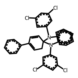 Clc1cc(Cl)cc(N(c2ccccc2)C2(N(c3ccccc3)c3cc(Cl)cc(Cl)c3)C=CC(c3ccccc3)=CC2)c1